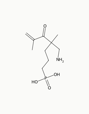 C=C(C)C(=O)C(C)(CN)CCCP(=O)(O)O